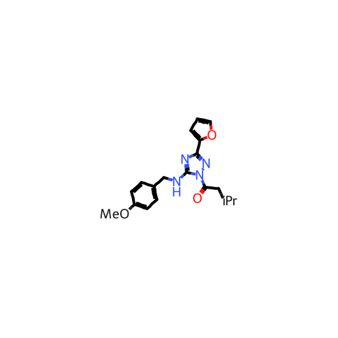 COc1ccc(CNc2nc(-c3ccco3)nn2C(=O)CC(C)C)cc1